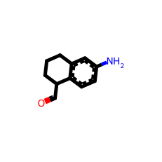 Nc1ccc2c(c1)CCCC2C=O